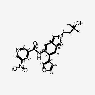 CC(C)(O)CCn1cc2cc(NC(=O)c3cncc([N+](=O)[O-])c3)c(-c3ccoc3)cc2n1